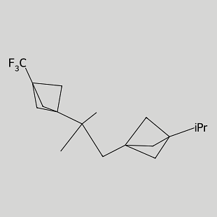 CC(C)C12CC(CC(C)(C)C34CC(C(F)(F)F)(C3)C4)(C1)C2